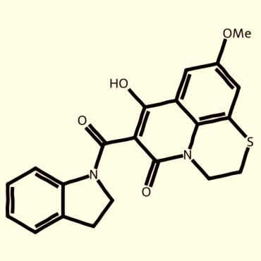 COc1cc2c3c(c1)c(O)c(C(=O)N1CCc4ccccc41)c(=O)n3CCS2